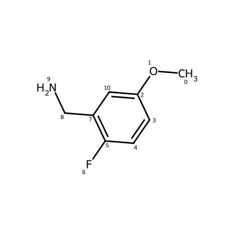 COc1ccc(F)c(CN)c1